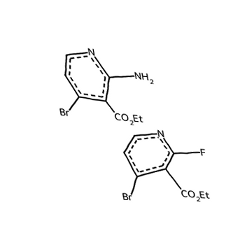 CCOC(=O)c1c(Br)ccnc1F.CCOC(=O)c1c(Br)ccnc1N